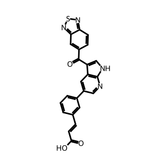 O=C(O)/C=C/c1cccc(-c2cnc3[nH]cc(C(=O)c4ccc5nsnc5c4)c3c2)c1